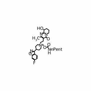 CCCCCNC(=O)OC[N+]1(CCc2c(C)nc3n(c2=O)CCCC3O)CCC(c2noc3cc(F)ccc23)CC1